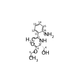 C=C(N[C@H](CO)C(=O)OCC)c1ccccc1N